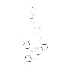 NC(=O)[C@@H](Nc1cccc(F)c1CC[C@@H]1CN[C@H](COC(=O)NCC(F)(F)F)CO1)C(c1ccc(F)cc1)c1ccc(F)cc1